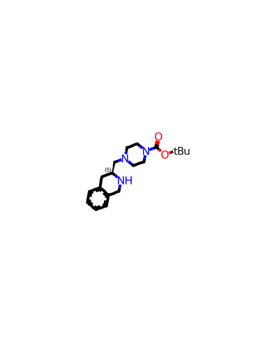 CC(C)(C)OC(=O)N1CCN(C[C@@H]2Cc3ccccc3CN2)CC1